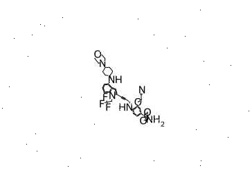 N#CCOc1cc(S(N)(=O)=O)ccc1NCC#Cc1cc2c(NC3CCC(N4CCOCC4)CC3)cccc2n1CC(F)(F)F